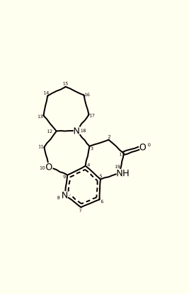 O=C1CC2c3c(ccnc3OCC3CCCCCN32)N1